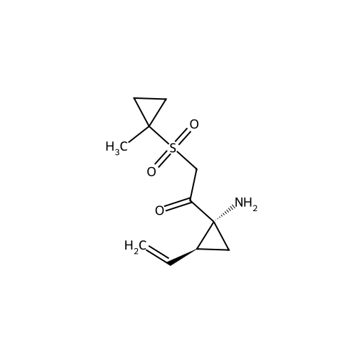 C=C[C@@H]1C[C@]1(N)C(=O)CS(=O)(=O)C1(C)CC1